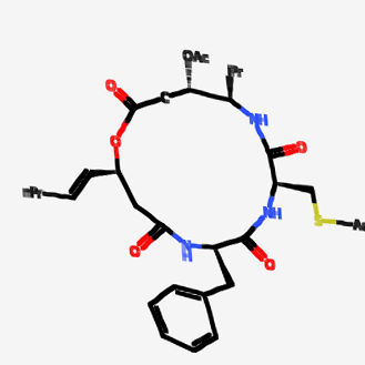 CCC/C=C/[C@@H]1CC(=O)N[C@H](Cc2ccccc2)C(=O)N[C@H](CSC(C)=O)C(=O)N[C@H](C(C)C)[C@@H](OC(C)=O)CC(=O)O1